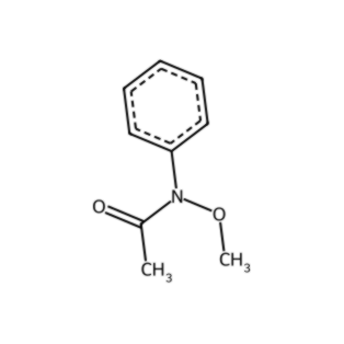 CON(C(C)=O)c1ccccc1